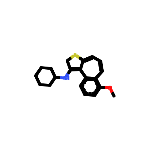 COc1cccc2c1C=CC=C1SCC(NC3CCCCC3)=C12